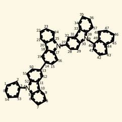 c1ccc(-n2c3ccccc3c3cc(-c4ccc5c(c4)c4ccccc4n5-c4ccc5c(c4)c4ccccc4n5-c4cccc5ccccc45)ccc32)cc1